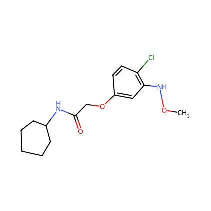 CONc1cc(OCC(=O)NC2CCCCC2)ccc1Cl